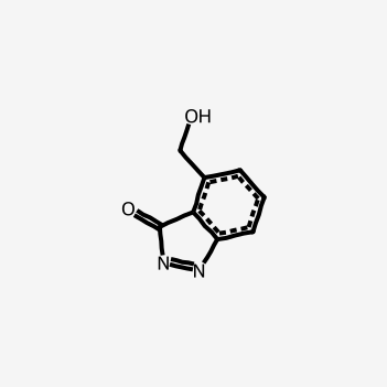 O=C1N=Nc2cccc(CO)c21